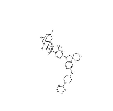 O=C(N[C@@]1(C(=O)O)[C@@H]2C[C@@H]3C[C@H]1C[C@@](F)(C3)C2)c1cnc(N2CC3(CCOCC3)c3cc(OC4CCN(c5ncccn5)CC4)ccc32)nc1C(F)(F)F